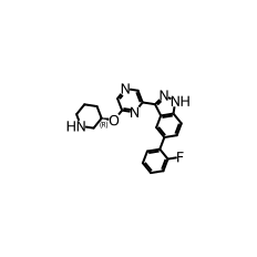 Fc1ccccc1-c1ccc2[nH]nc(-c3cncc(O[C@@H]4CCCNC4)n3)c2c1